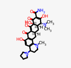 CN1CCC(N2CCCC2)c2cc(O)c3c(c21)C[C@@H]1C[C@@H]2[C@@H](N(C)C)C(O)=C(C(N)=O)C(=O)[C@@]2(O)C(O)=C1C3=O